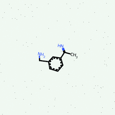 CC(=N)c1cccc(CN)c1